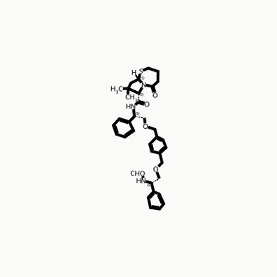 CC1(C)C[C@@H]2SCCCC(=O)N2[C@@H]1C(=O)N[C@H](COCc1ccc(COC[C@@H](NC=O)c2ccccc2)cc1)c1ccccc1